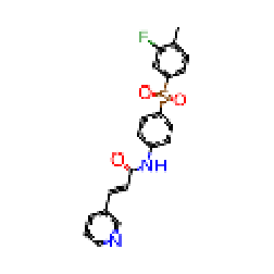 Cc1ccc(S(=O)(=O)c2ccc(NC(=O)C=Cc3cccnc3)cc2)cc1F